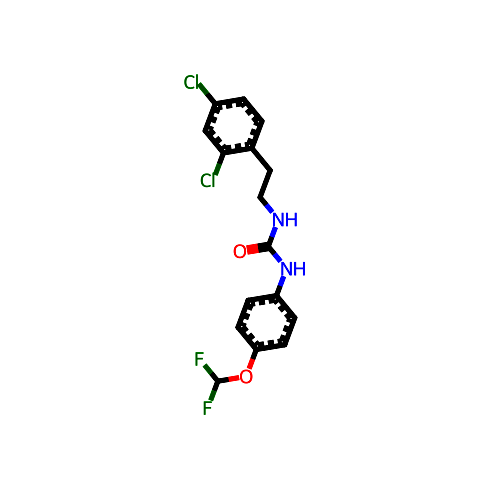 O=C(NCCc1ccc(Cl)cc1Cl)Nc1ccc(OC(F)F)cc1